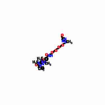 CCC1C(=O)N(C)c2cnc(N(C)c3ccc(C(=O)NCCOCCOCCOCCOCCN(C)c4ncc(C=O)cn4)cc3OC)nc2N1C1CCCC1